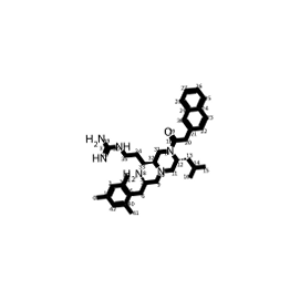 Cc1cc(C)c(C[C@@H](N)CN2C[C@@H](CC(C)C)N(C(=O)Cc3ccc4ccccc4c3)C[C@@H]2CCCNC(=N)N)c(C)c1